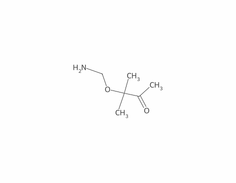 CC(=O)C(C)(C)OCN